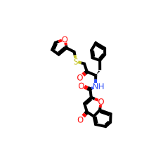 O=C(N[C@@H](Cc1ccccc1)C(=O)CSCc1ccco1)c1cc(=O)c2ccccc2o1